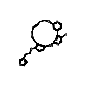 Clc1cnc2nc1-c1ccnc(c1)OCC/C=C/COCc1cc(ccc1OCCn1ccnc1)N2